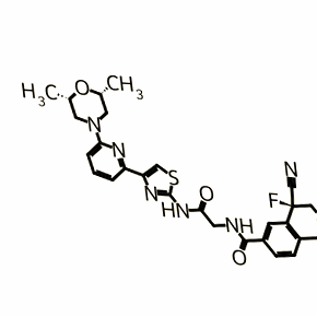 C[C@@H]1CN(c2cccc(-c3csc(NC(=O)CNC(=O)c4ccc5c(c4)[C@](F)(C#N)COC5)n3)n2)C[C@H](C)O1